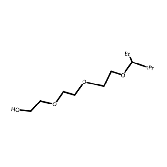 CCCC(CC)OCCOCCOCCO